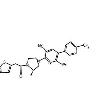 CC(C)c1nc(N2CCN(C(=O)Cc3cccs3)[C@H](C)C2)c(C#N)cc1-c1ccc(C(F)(F)F)cc1